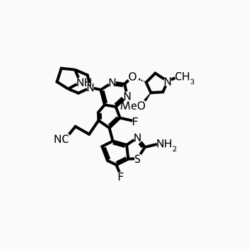 CO[C@@H]1CN(C)C[C@H]1Oc1nc(N2CC3CCC(C2)N3)c2cc(CCC#N)c(-c3ccc(F)c4sc(N)nc34)c(F)c2n1